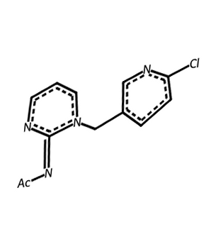 CC(=O)N=c1ncccn1Cc1ccc(Cl)nc1